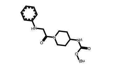 CC(C)(C)OC(=O)NC1CCN(C(=O)CNc2ccccc2)CC1